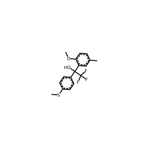 COc1ccc(C)cc1C(O)(c1ccc(SC)cc1)C(F)(F)F